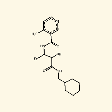 CCC(NC(=O)c1cnccc1C)C(O)C(=O)NCC1CCCCC1